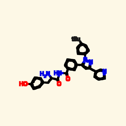 CC(C)(C)c1ccc(-n2nc(-c3cccnc3)cc2-c2cccc(C(=O)NC(=O)C(N)Cc3ccc(O)cc3)c2)cc1